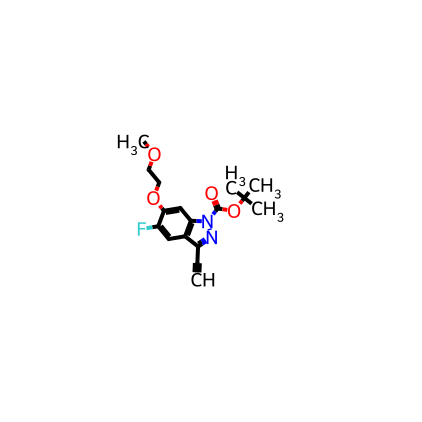 C#Cc1nn(C(=O)OC(C)(C)C)c2cc(OCCOC)c(F)cc12